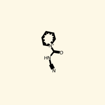 N#CNC(=O)[n+]1ccccc1